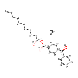 C=CCCCCCCCCC(=O)OC(=O)c1ccc(C(=O)c2ccccc2)cc1.[Tb]